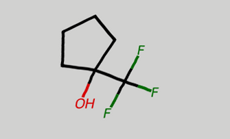 OC1(C(F)(F)F)CCCC1